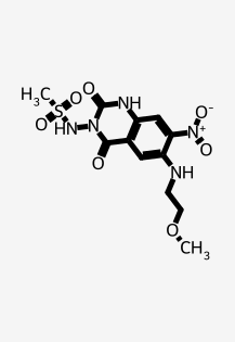 COCCNc1cc2c(=O)n(NS(C)(=O)=O)c(=O)[nH]c2cc1[N+](=O)[O-]